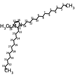 CCCCCCCCCCCCCCCN1C=CN(CC)C1CCCCCCCCCCCCC